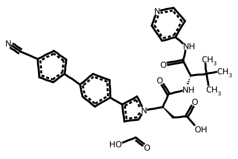 CC(C)(C)[C@H](NC(=O)[C@@H](CC(=O)O)n1ccc(-c2ccc(-c3ccc(C#N)cc3)cc2)c1)C(=O)Nc1ccncc1.O=CO